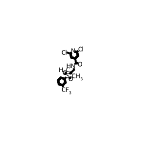 CC(C)(CNC(=O)c1cc(Cl)nc(Cl)c1)S(=O)(=O)c1cccc(C(F)(F)F)c1